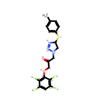 Cc1ccc(SC2CN(CC(=O)COc3c(F)c(F)cc(F)c3F)N=N2)cc1